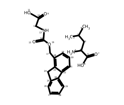 CC(C)CC(N)C(=O)O.O=C(O)CNC(=O)OCc1cccc2c1Cc1ccccc1-2